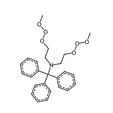 COOOCCN(CCOOOC)C(c1ccccc1)(c1ccccc1)c1ccccc1